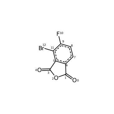 O=C1OC(=O)c2c1ccc(F)c2Br